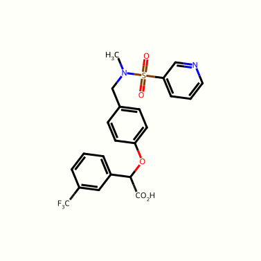 CN(Cc1ccc(OC(C(=O)O)c2cccc(C(F)(F)F)c2)cc1)S(=O)(=O)c1cccnc1